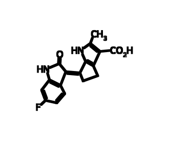 Cc1[nH]c2c(c1C(=O)O)CC/C2=C1/C(=O)Nc2cc(F)ccc21